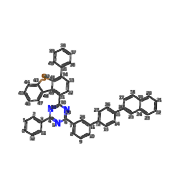 c1ccc(-c2nc(-c3cccc(-c4ccc(-c5ccc6ccccc6c5)cc4)c3)nc(-c3ccc(-c4ccccc4)c4sc5ccccc5c34)n2)cc1